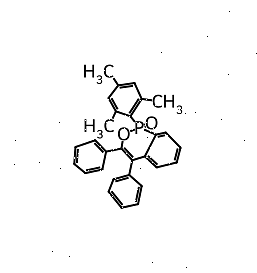 Cc1cc(C)c(P2(=O)OC(c3ccccc3)=C(c3ccccc3)c3ccccc32)c(C)c1